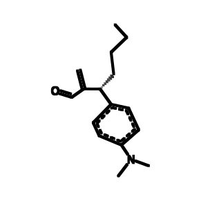 C=C(C=O)[C@H](CCCC)c1ccc(N(C)C)cc1